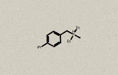 CC[PH](C)(CC)Cc1ccc(C(C)C)cc1